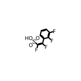 O=S(=O)(O)C(F)=C(F)c1cccc(F)c1F